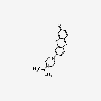 CC(C)N1CCN(c2ccc3nc4ccc(=O)cc-4sc3c2)CC1